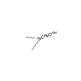 CCCCCCCCN(CCCCCCCC)c1ccc(/N=N/c2ccc(S)cc2)cc1